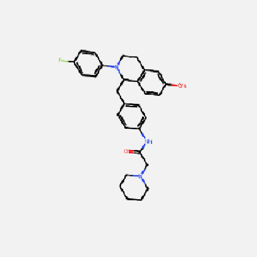 O=C(CN1CCCCC1)Nc1ccc(CC2c3ccc(O)cc3CCN2c2ccc(F)cc2)cc1